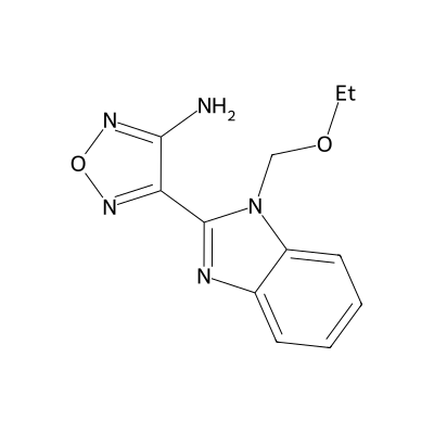 CCOCn1c(-c2nonc2N)nc2ccccc21